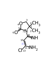 CC1(C)COC(=O)N1C(=N)/C=C(\N)Cl